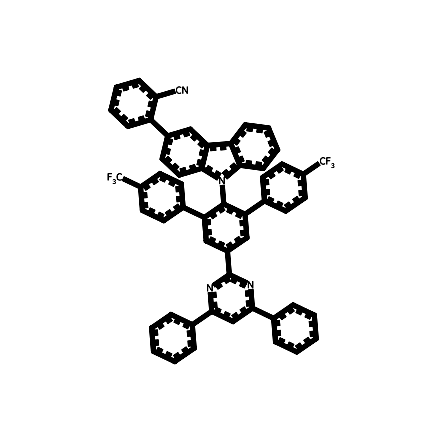 N#Cc1ccccc1-c1ccc2c(c1)c1ccccc1n2-c1c(-c2ccc(C(F)(F)F)cc2)cc(-c2nc(-c3ccccc3)cc(-c3ccccc3)n2)cc1-c1ccc(C(F)(F)F)cc1